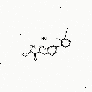 CN(C)C(=O)C(N)Cc1ccc(-c2cccc(F)c2F)nc1.Cl